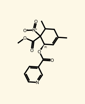 COC(=O)C1([N+](=O)[O-])C(C)CC(C)=C[C@H]1OC(=O)c1cccnc1